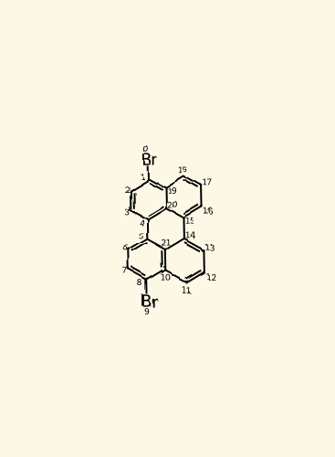 Brc1ccc2c3ccc(Br)c4cccc(c5cccc1c52)c43